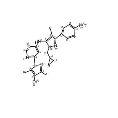 Cc1nn(-c2cc(Nc3c(C)c(-c4ccc(N)cc4)nn3CC3CC3)ncn2)c(C)c1O